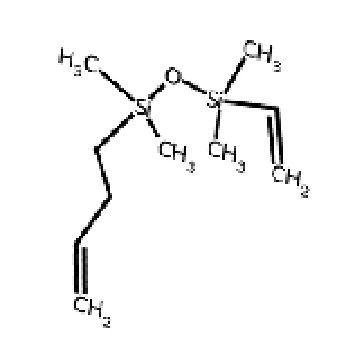 C=CCC[Si](C)(C)O[Si](C)(C)C=C